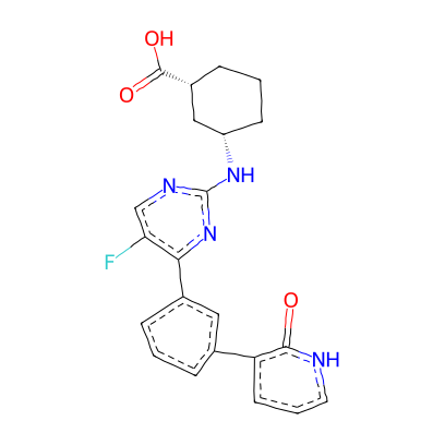 O=C(O)[C@@H]1CCC[C@H](Nc2ncc(F)c(-c3cccc(-c4ccc[nH]c4=O)c3)n2)C1